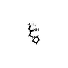 C=CC(=N)CN1CCCC1